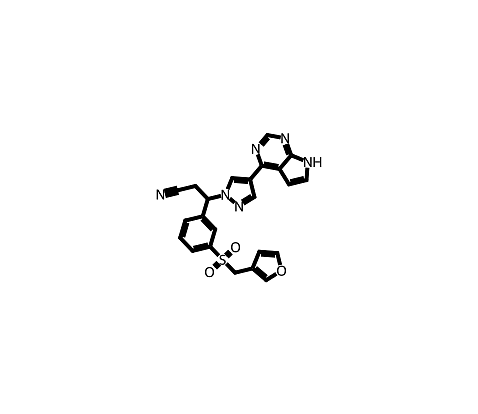 N#CCC(c1cccc(S(=O)(=O)Cc2ccoc2)c1)n1cc(-c2ncnc3[nH]ccc23)cn1